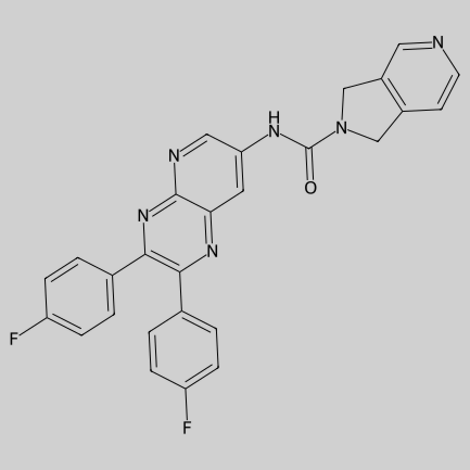 O=C(Nc1cnc2nc(-c3ccc(F)cc3)c(-c3ccc(F)cc3)nc2c1)N1Cc2ccncc2C1